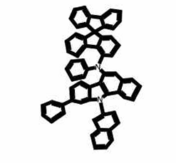 c1ccc(-c2ccc3c4c(N(c5ccccc5)c5cccc6c5-c5ccccc5C65c6ccccc6-c6ccccc65)cc5ccccc5c4n(-c4ccc5ccccc5c4)c3c2)cc1